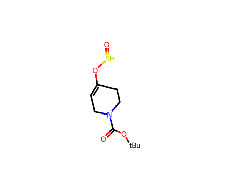 CC(C)(C)OC(=O)N1CC=C(O[SH]=O)CC1